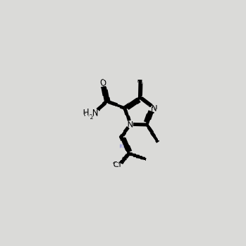 C/C(Cl)=C\n1c(C)nc(C)c1C(N)=O